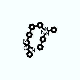 c1ccc(-c2ccc(-c3nc(-c4ccccc4)nc(-c4cccc(-c5cccc(-c6ccc(-c7cc8c(cn7)oc7c9ccccc9ncc87)cc6)c5)c4)n3)cc2)cc1